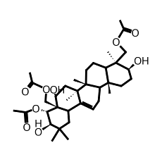 CC(=O)OC[C@@]12C(CC(C)(C)[C@@H](O)[C@@H]1OC(C)=O)C1=CCC3[C@@]4(C)CC[C@H](O)[C@](C)(COC(C)=O)C4CC[C@@]3(C)[C@]1(C)C[C@H]2O